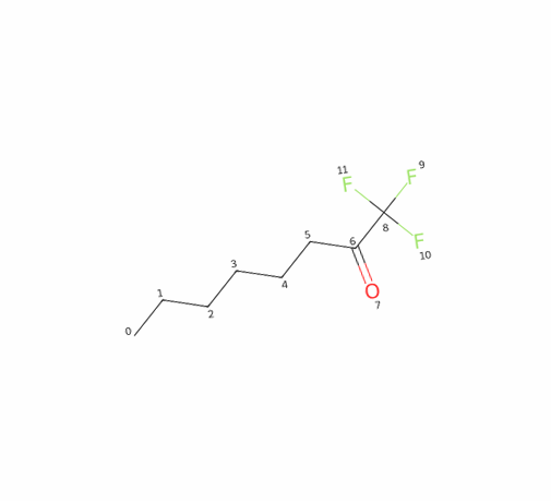 CCCCCCC(=O)C(F)(F)F